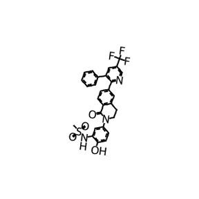 CS(=O)(=O)Nc1cc(N2CCc3cc(-c4ncc(C(F)(F)F)cc4-c4ccccc4)ccc3C2=O)ccc1O